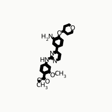 COC(=O)c1ccc(Nc2nccc(-c3ccc(OC4CCOCC4)c(N)c3)n2)cc1OC